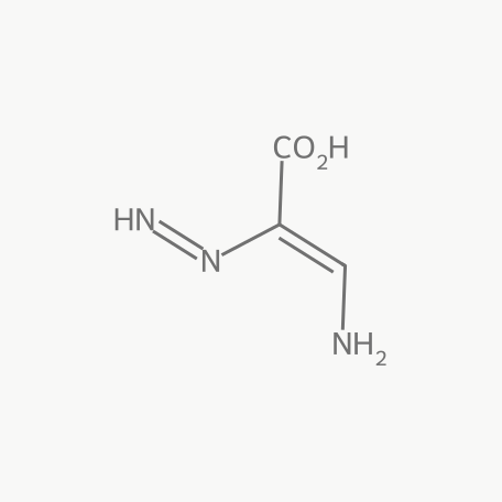 N=N/C(=C\N)C(=O)O